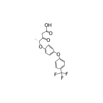 C[C@@H](Oc1ccc(Oc2ccc(C(F)(F)F)cc2)cc1)C(=O)CC(=O)O